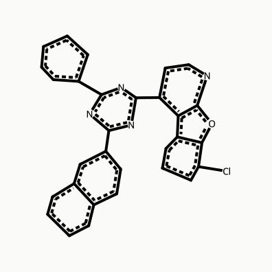 Clc1cccc2c1oc1nccc(-c3nc(-c4ccccc4)nc(-c4ccc5ccccc5c4)n3)c12